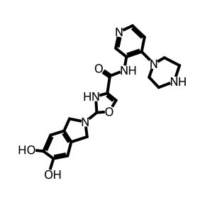 O=C(Nc1cnccc1N1CCNCC1)C1=COC(N2Cc3cc(O)c(O)cc3C2)N1